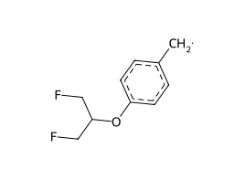 [CH2]c1ccc(OC(CF)CF)cc1